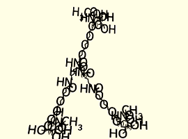 CC(=O)NC1C(O)[C@@H](O)C(CO)O[C@H]1OCCOCCOCCOCC(=O)NC(CCCCNC(=O)COCCOCCOCCO[C@@H]1OC(CO)[C@H](CO)C(O)C1NC(C)=O)C(=O)N[C@H](C=O)CCCCNC(=O)COCCOCCOCCO[C@@H]1CC(CO)[C@H](CO)C(O)C1NC(C)=O